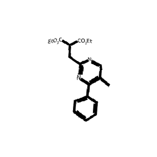 CCOC(=O)C(Cc1ncc(C)c(-c2ccccc2)n1)C(=O)OCC